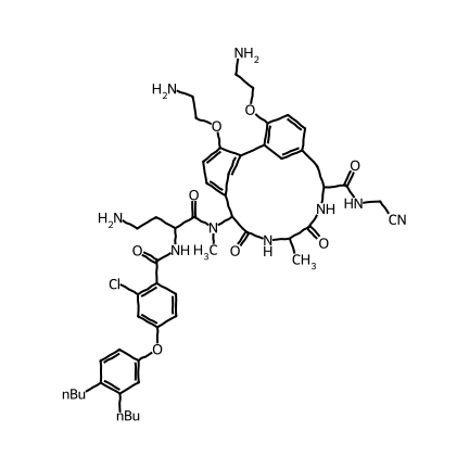 CCCCc1ccc(Oc2ccc(C(=O)NC(CCN)C(=O)N(C)C3C(=O)NC(C)C(=O)NC(C(=O)NCC#N)Cc4ccc(OCCN)c(c4)-c4cc3ccc4OCCN)c(Cl)c2)cc1CCCC